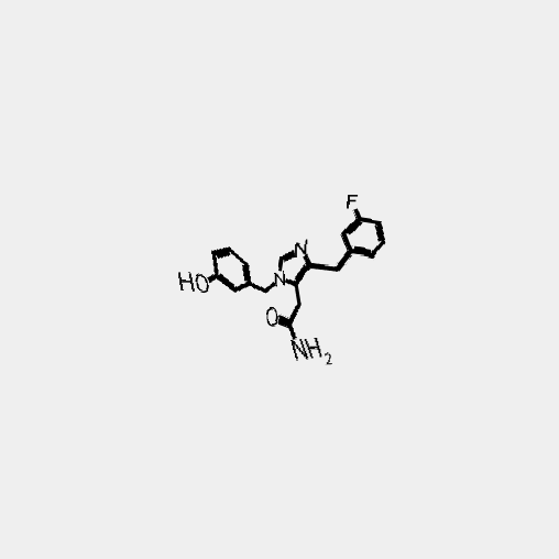 NC(=O)Cc1c(Cc2cccc(F)c2)ncn1Cc1cccc(O)c1